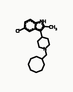 Cc1[nH]c2ccc(Cl)cc2c1C1CCN(CC2CCCCCCC2)CC1